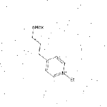 CCCCCCCCCc1cc[n+](CC)cc1